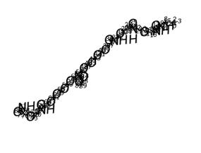 CC(C)(C)CCC(C)(C)CNC(=O)NC(C)(C)CCOCCCNC(=O)C(C)(C)CCOCCNC(=O)CCOCCOCCOCCOCCN(CCOCCOCCOCCOCCC(=O)NCCC(C)(C)OCCC(C)(C)C(N)=O)C(=O)OC(C)(C)C